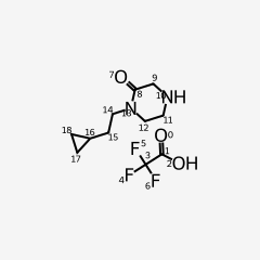 O=C(O)C(F)(F)F.O=C1CNCCN1CCC1CC1